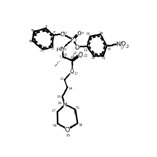 C[C@H](NP(=O)(Oc1ccccc1)Oc1ccc([N+](=O)[O-])cc1)C(=O)OCCCN1CCOCC1